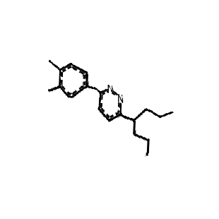 CCCC(CCC)c1ccc(-c2ccc(C)c(C)c2)nn1